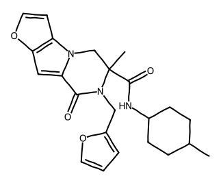 CC1CCC(NC(=O)C2(C)Cn3c(cc4occc43)C(=O)N2Cc2ccco2)CC1